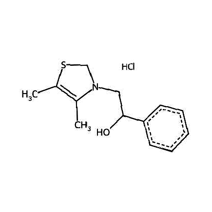 CC1=C(C)N(CC(O)c2ccccc2)CS1.Cl